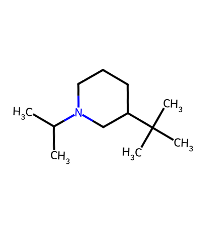 CC(C)N1CCCC(C(C)(C)C)C1